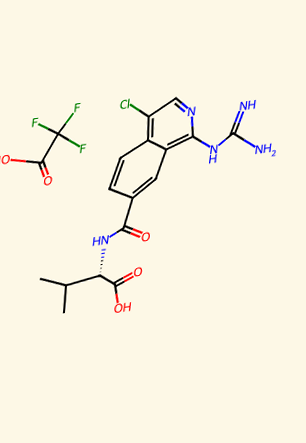 CC(C)[C@H](NC(=O)c1ccc2c(Cl)cnc(NC(=N)N)c2c1)C(=O)O.O=C(O)C(F)(F)F